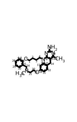 CCCCCNc1nc(N)nc(C)c1Cc1ccc(OCCN(C)Cc2ccccc2)cc1